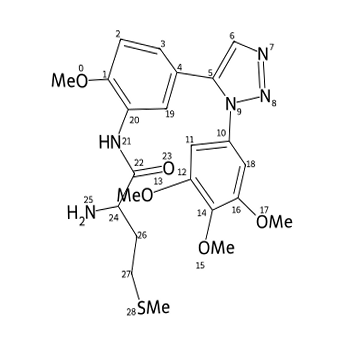 COc1ccc(-c2cnnn2-c2cc(OC)c(OC)c(OC)c2)cc1NC(=O)C(N)CCSC